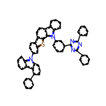 c1ccc(-c2nc(-c3ccccc3)nc(-c3cccc(-n4c5ccccc5c5ccc6c7ccc(-n8c9ccccc9c9c(-c%10ccccc%10)cccc98)cc7sc6c54)c3)n2)cc1